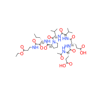 CCC[C@H](NC(=O)[C@@H]1CCCN1C(=O)[C@@H](NC(=O)[C@@H](NC(=O)[C@H](CCC(=O)O)NC(=O)[C@H](CCC(=O)O)NC(C)=O)C(C)C)C(C)C)C(=O)C(=O)NCCC(=O)OCC